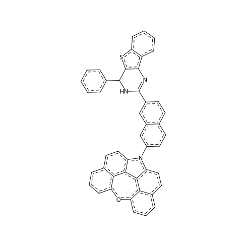 c1ccc(C2NC(c3ccc4ccc(-n5c6ccc7cccc8oc9cccc%10ccc5c(c%109)c6c78)cc4c3)=Nc3c2sc2ccccc32)cc1